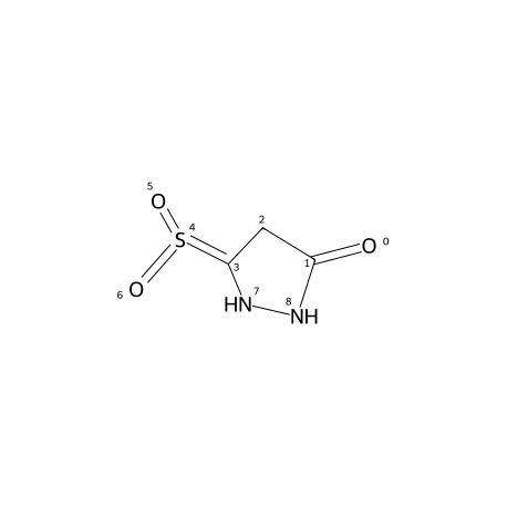 O=C1CC(=S(=O)=O)NN1